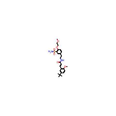 COCCOc1ccc(CCNC(=O)/C=C/c2cc(C(C)(C)C)ccc2OC)cc1S(N)(=O)=O